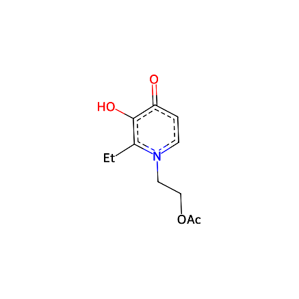 CCc1c(O)c(=O)ccn1CCOC(C)=O